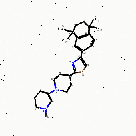 CCN1CCCC(N2CCC(c3nc(-c4ccc5c(c4)C(C)(C)CCC5(C)C)cs3)CC2)C1